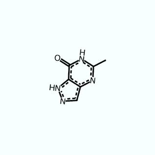 Cc1nc2cn[nH]c2c(=O)[nH]1